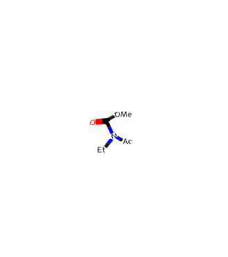 CCN(C(C)=O)C(=O)OC